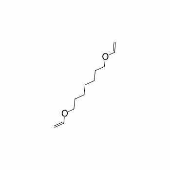 C=COCCCCCCCOC=C